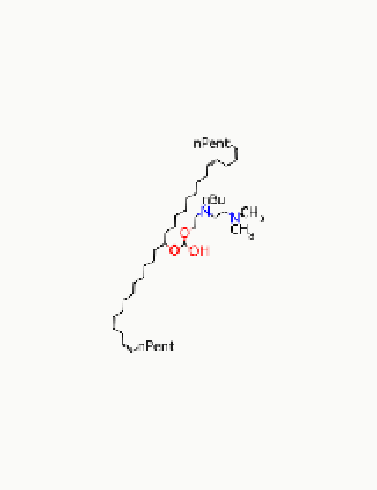 CCCCC/C=C\C/C=C\CCCCCCCCC(CCCCCCCC/C=C\C/C=C\CCCCC)OC(O)OCCN(CCCC)CCN(C)C